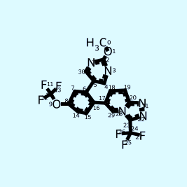 COc1ncc(-c2cc(OC(F)(F)F)ccc2-c2ccc3nnc(C(F)(F)F)n3c2)cn1